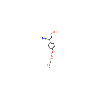 COCCOCOc1ccc(C(C#N)CCO)cc1